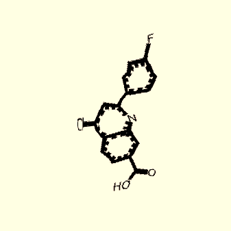 O=C(O)c1ccc2c(Cl)cc(-c3ccc(F)cc3)nc2c1